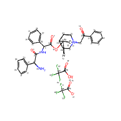 NC(C(=O)NC(C(=O)O[C@H]1C[N+]2(CC(=O)c3ccccc3)CCC1CC2)c1ccccc1)c1ccccc1.O=C(O)C(F)(F)F.O=C([O-])C(F)(F)F